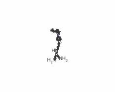 C=C[C@](C)(/C=C/c1ccc(OCCCCNCCN(CCN)CCN)cc1)CCC=C(C)C